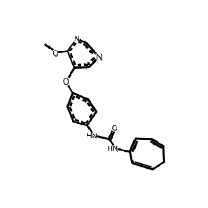 COc1ncncc1Oc1ccc(NC(=O)NC2=CC=CCC=C2)cc1